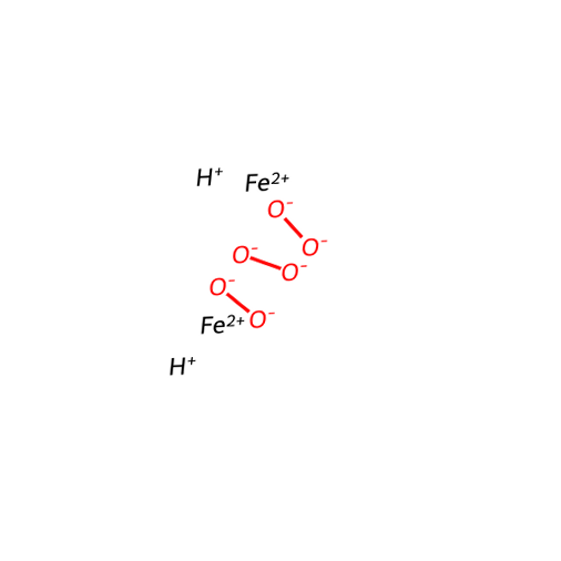 [Fe+2].[Fe+2].[H+].[H+].[O-][O-].[O-][O-].[O-][O-]